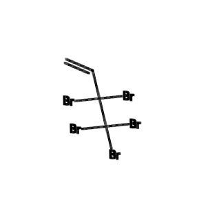 C=CC(Br)(Br)C(Br)(Br)Br